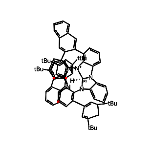 CC(C)(C)C1=CC(c2cccc(-c3cc(C(C)(C)C)cc(C(C)(C)C)c3)c2N2c3ccccc3N3c4cccc5c4[N+]4(c6c(ccc7c8ccccc8n(c67)-c6cc(C(C)(C)C)cc[n+]64)-c4cc6ccccc6cc4-5)[C@@H]32)=CC(C(C)(C)C)C1